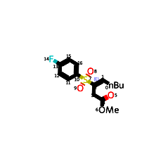 CCCC/C=C(\CC(=O)OC)S(=O)(=O)c1ccc(F)cc1